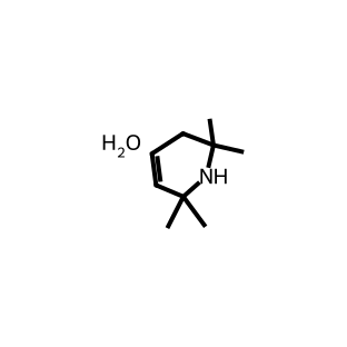 CC1(C)C=CCC(C)(C)N1.O